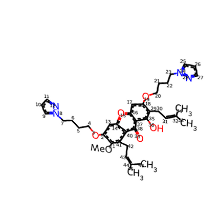 COc1c(OCCCCn2cccn2)cc2oc3cc(OCCCCn4cccn4)c(CC=C(C)C)c(O)c3c(=O)c2c1CC=C(C)C